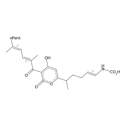 CCCCC/C(C)=C/C=C(\C)C(=O)c1c(O)cc(C(C)CC/C=C/NC(=O)O)oc1=O